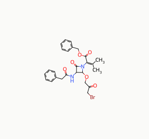 CC(C)=C(C(=O)OCc1ccccc1)N1C(=O)C(NC(=O)Cc2ccccc2)C1OCC(=O)CBr